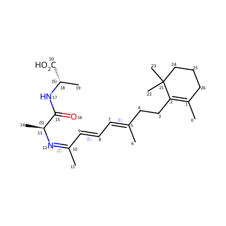 CC1=C(CC/C(C)=C/C=C/C(C)=N\[C@@H](C)C(=O)N[C@@H](C)C(=O)O)C(C)(C)CCC1